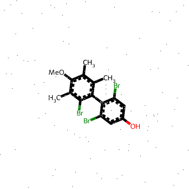 COc1c(C)c(C)c(-c2c(Br)cc(O)cc2Br)c(Br)c1C